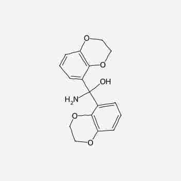 NC(O)(c1cccc2c1OCCO2)c1cccc2c1OCCO2